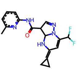 Cc1cccc(NC(=O)C2C=NN3C(C(F)F)=CC(=C4CC4)NC23)n1